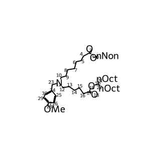 CCCCCCCCCOC(=O)CCCCCCCN(CCCCCC(=O)OC(CCCCCCCC)CCCCCCCC)Cc1ccc(OC)cc1